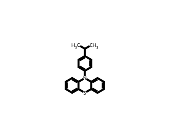 CC(C)c1ccc(N2c3ccccc3Sc3ccccc32)cc1